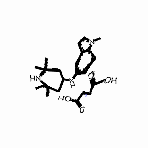 Cn1ccc2cc(NC3CC(C)(C)NC(C)(C)C3)ccc21.O=C(O)/C=C/C(=O)O